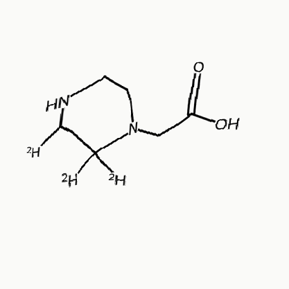 [2H]C1NCCN(CC(=O)O)C1([2H])[2H]